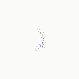 CCOc1cc(-c2cccc(CC3OC(=O)NC3=O)c2)ccc1-c1nc2c(nnn2Cc2ccc(OC)cc2)c(=O)[nH]1